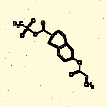 C=CC(=O)Oc1ccc2cc(C(=O)OS(C)(=O)=O)ccc2c1